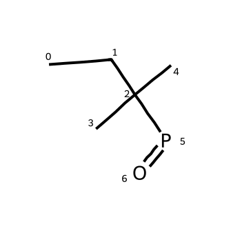 CCC(C)(C)P=O